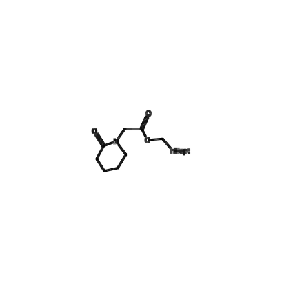 CCCCCCCCOC(=O)CN1CCCCC1=O